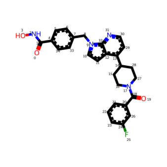 O=C(NO)c1ccc(Cn2ccc3c(C4CCN(C(=O)c5cccc(F)c5)CC4)ccnc32)cc1